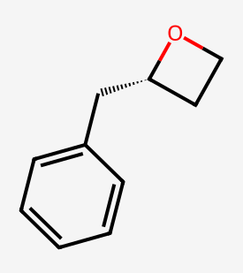 c1ccc(C[C@H]2CCO2)cc1